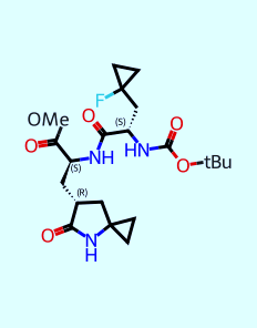 COC(=O)[C@H](C[C@@H]1CC2(CC2)NC1=O)NC(=O)[C@H](CC1(F)CC1)NC(=O)OC(C)(C)C